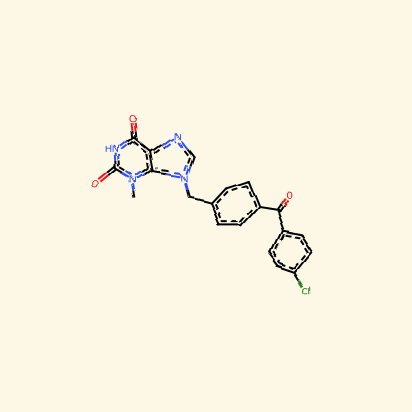 Cn1c(=O)[nH]c(=O)c2ncn(Cc3ccc(C(=O)c4ccc(Cl)cc4)cc3)c21